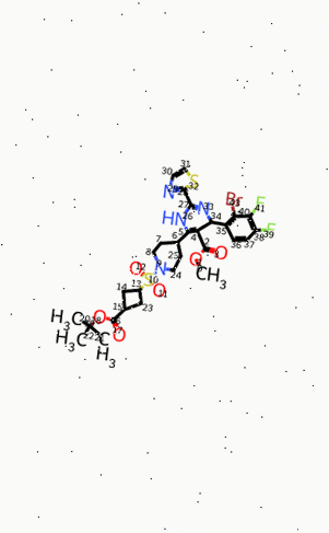 COC(=O)C1=C(C2CCN(S(=O)(=O)C3CC(C(=O)OC(C)(C)C)C3)CC2)NC(c2nccs2)=NC1c1ccc(F)c(F)c1Br